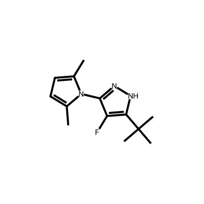 Cc1ccc(C)n1-c1n[nH]c(C(C)(C)C)c1F